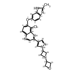 Cc1nc2ccc(Oc3ccc4ncc(-c5cnn(C6CN(C7COC7)C6)c5)nc4c3Cl)cc2[nH]1